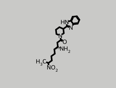 CC(CCCC[C@@H](N)CC(=O)N1CCCC(c2nc3ccccc3[nH]2)C1)[N+](=O)[O-]